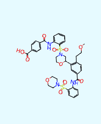 COCCc1ccc(C(=O)Nc2ccccc2S(=O)(=O)N2CCOCC2)cc1C1CN(S(=O)(=O)c2ccccc2NC(=O)c2ccc(C(=O)O)cc2)CCO1